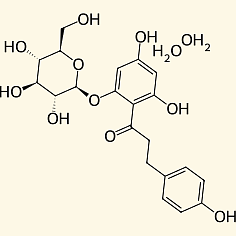 O.O.O=C(CCc1ccc(O)cc1)c1c(O)cc(O)cc1O[C@@H]1O[C@H](CO)[C@@H](O)[C@H](O)[C@H]1O